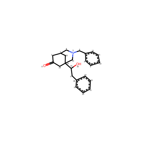 O=C1CC2CN(Cc3ccccc3)CC(C(O)Cc3ccccc3)(C1)C2